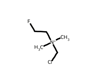 C[N+](C)(CCl)CCF